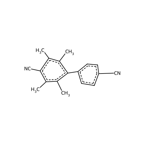 Cc1c(C)c(-c2ccc(C#N)cc2)c(C)c(C)c1C#N